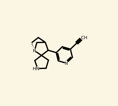 C#Cc1cncc(C2C3CC[N@](C3)C23CCNC3)c1